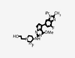 COc1nc(N[C@H]2CCN(CCO)C[C@H]2F)nn2ccc(-c3cc(F)c4nc(C)n(C(C)C)c4c3)c12